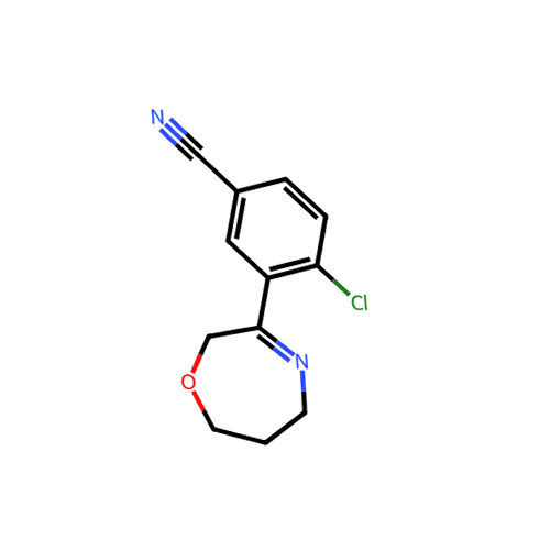 N#Cc1ccc(Cl)c(C2=NCCCOC2)c1